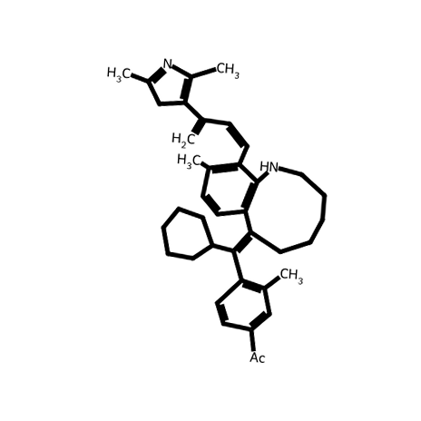 C=C(/C=C\c1c(C)ccc2c1NCCCCC/C2=C(\c1ccc(C(C)=O)cc1C)C1CCCCC1)C1=C(C)N=C(C)C1